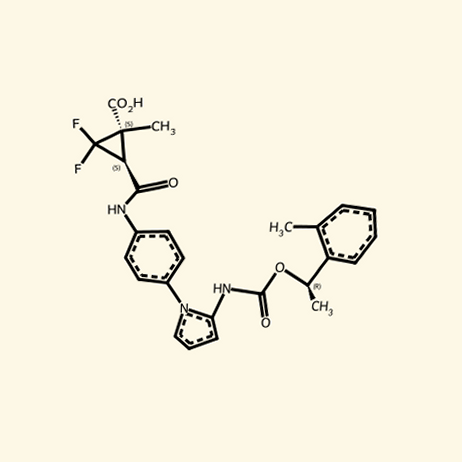 Cc1ccccc1[C@@H](C)OC(=O)Nc1cccn1-c1ccc(NC(=O)[C@H]2C(F)(F)[C@]2(C)C(=O)O)cc1